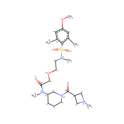 COc1cc(C)c(S(=O)(=O)N(C)CCOCC(=O)N(C)C2CCCN(C(=O)C3CN(C)C3)C2)c(C)c1